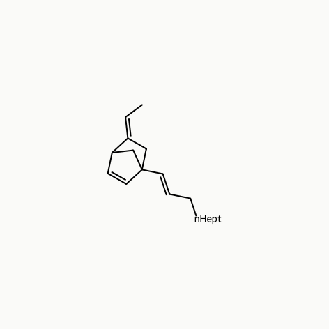 CC=C1CC2(C=CCCCCCCCC)C=CC1C2